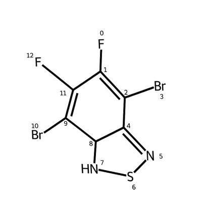 FC1=C(Br)C2=NSNC2C(Br)=C1F